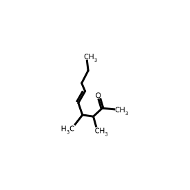 CCCC=CC(C)C(C)C(C)=O